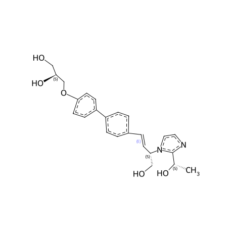 C[C@H](O)c1nccn1[C@@H](/C=C/c1ccc(-c2ccc(OC[C@@H](O)CO)cc2)cc1)CO